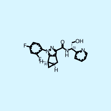 O=C(N[C@H](CO)c1ccccn1)c1nn(-c2ccc(F)cc2F)c2c1C[C@H]1C[C@@H]21